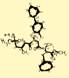 CNC(=O)[C@@H](Cc1ccccc1)N(C)C(=O)[C@@H](Cc1ccc(-c2ccccc2)cc1)N(C)C(=O)/C=C(\C)CC(C)(C)N